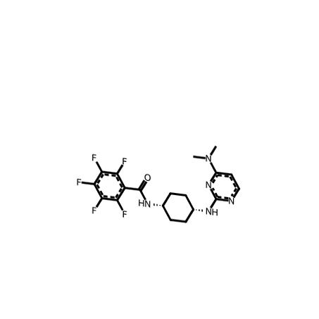 CN(C)c1ccnc(N[C@H]2CC[C@@H](NC(=O)c3c(F)c(F)c(F)c(F)c3F)CC2)n1